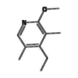 CCc1c(C)cnc(OC)c1C